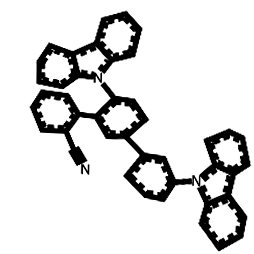 N#Cc1ccccc1-c1cc(-c2cccc(-n3c4ccccc4c4ccccc43)c2)ccc1-n1c2ccccc2c2ccccc21